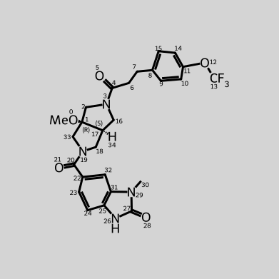 CO[C@@]12CN(C(=O)CCc3ccc(OC(F)(F)F)cc3)C[C@H]1CN(C(=O)c1ccc3[nH]c(=O)n(C)c3c1)C2